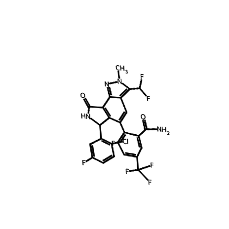 Cn1nc2c3c(c(-c4c(F)cc(C(F)(F)F)cc4C(N)=O)cc2c1C(F)F)C(c1cc(F)ccc1Cl)NC3=O